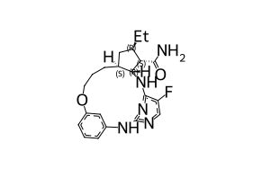 CC[C@@H]1C[C@@H]2CCCOc3cccc(c3)Nc3ncc(F)c(n3)N[C@H]2[C@H]1C(N)=O